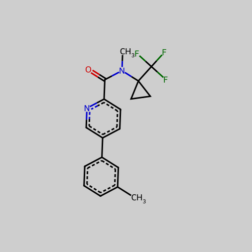 Cc1cccc(-c2ccc(C(=O)N(C)C3(C(F)(F)F)CC3)nc2)c1